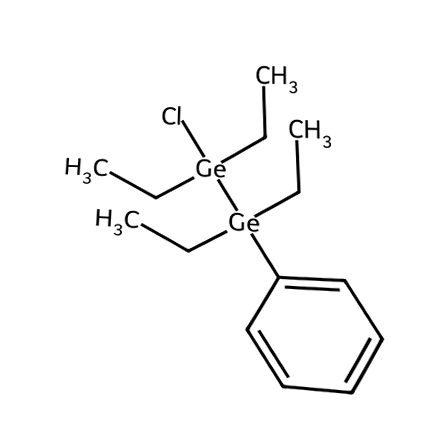 C[CH2][Ge]([Cl])([CH2]C)[Ge]([CH2]C)([CH2]C)[c]1ccccc1